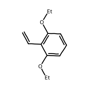 C=Cc1c(OCC)cccc1OCC